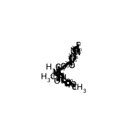 COc1ccc(Cn2ncc3c(c(C)nn3C(C)COCCC(=O)N3CCN(c4ncc(F)cn4)CC3)c2=O)cc1